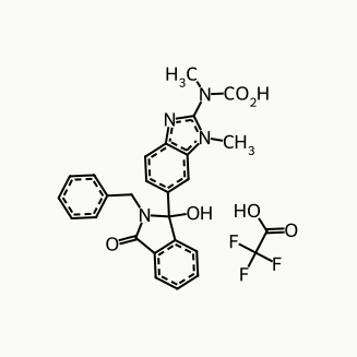 CN(C(=O)O)c1nc2ccc(C3(O)c4ccccc4C(=O)N3Cc3ccccc3)cc2n1C.O=C(O)C(F)(F)F